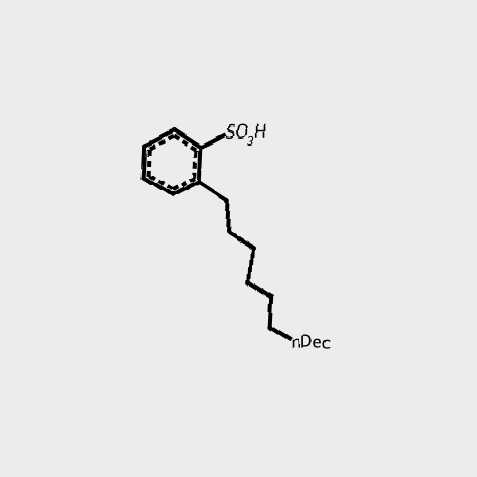 CCCCCCCCCCCCCCCCc1ccccc1S(=O)(=O)O